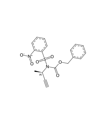 C#C[C@@H](C)N(C(=O)OCc1ccccc1)S(=O)(=O)c1ccccc1[N+](=O)[O-]